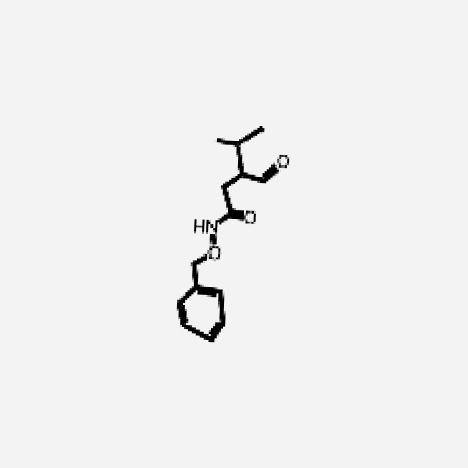 CC(C)C(C=O)CC(=O)NOCc1ccccc1